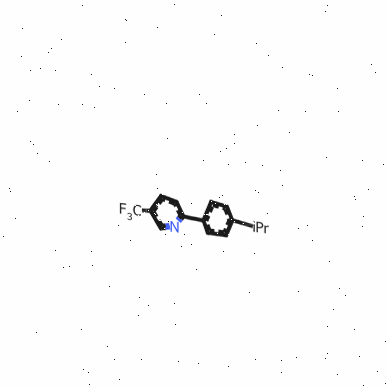 CC(C)c1ccc(-c2ccc(C(F)(F)F)cn2)cc1